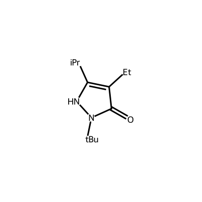 CCc1c(C(C)C)[nH]n(C(C)(C)C)c1=O